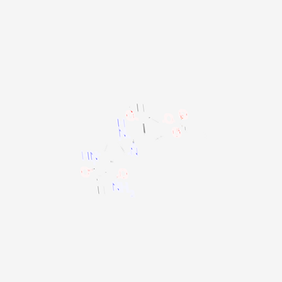 COc1cc(OS(C)(=O)=O)ccc1-c1nc2cc3c(cc2[nH]1)NC(=O)C3(C)C(N)=O